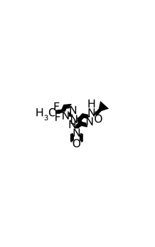 CC(F)(F)c1ccnc(-n2nc(N3CCOCC3)c3cnc(NC(=O)C4CC4)cc32)n1